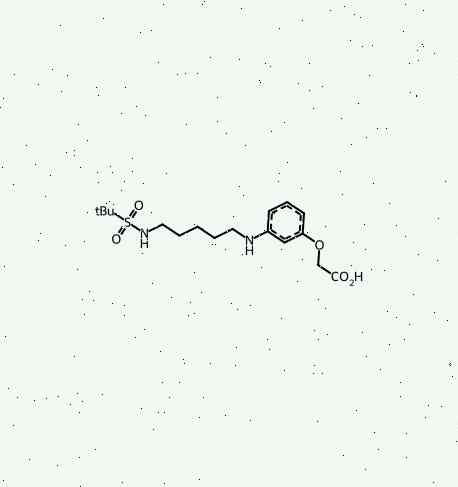 CC(C)(C)S(=O)(=O)NCCCCCNc1cccc(OCC(=O)O)c1